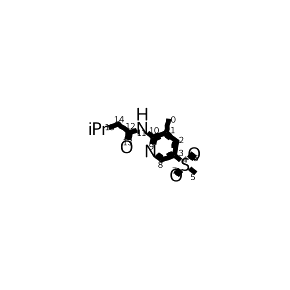 Cc1cc(S(C)(=O)=O)cnc1NC(=O)CC(C)C